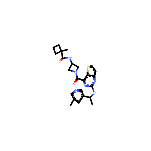 Cc1cncc(C(C)Nc2nc(C(=O)N3CC(NC(=O)C4(C)CCC4)C3)c3sccc3n2)c1